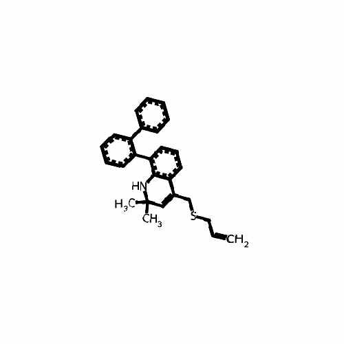 C=CCSCC1=CC(C)(C)Nc2c1cccc2-c1ccccc1-c1ccccc1